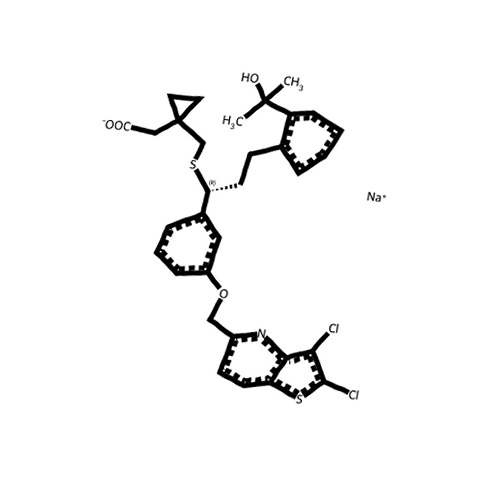 CC(C)(O)c1ccccc1CC[C@@H](SCC1(CC(=O)[O-])CC1)c1cccc(OCc2ccc3sc(Cl)c(Cl)c3n2)c1.[Na+]